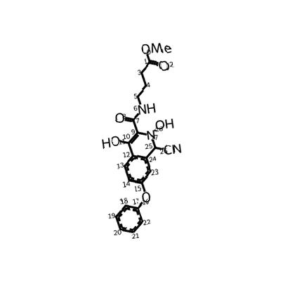 COC(=O)CCCNC(=O)C1=C(O)c2ccc(Oc3ccccc3)cc2C(C#N)N1O